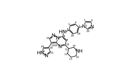 c1cn(-c2ccc(Nc3cc(C4CCCNC4)nc4c(-c5cn[nH]c5)cnn34)cc2)cn1